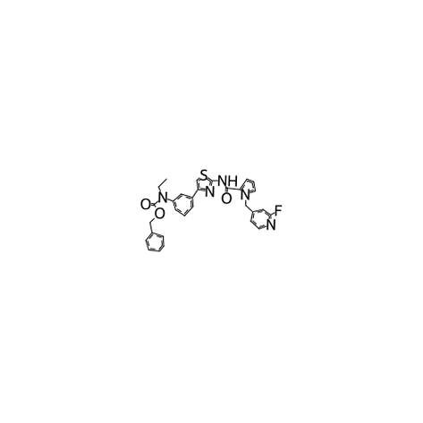 CCN(C(=O)OCc1ccccc1)c1cccc(-c2csc(NC(=O)c3cccn3Cc3ccnc(F)c3)n2)c1